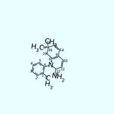 Cc1ccccc1N1C2=C(C=CC1N)C=CC(C)(C)C2